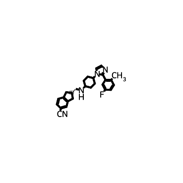 Cc1ccc(F)cc1-c1nccn1C1CCC(NC[C@H]2Cc3ccc(C#N)cc3C2)CC1